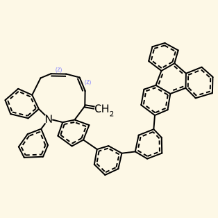 C=C1/C=C\C=C/Cc2ccccc2N(c2ccccc2)c2ccc(-c3cccc(-c4cccc(-c5ccc6c7ccccc7c7ccccc7c6c5)c4)c3)cc21